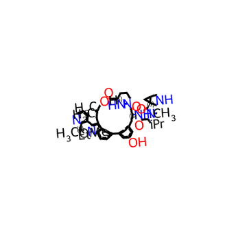 CCn1c(-c2cccnc2[C@H](C)OC)c2c3cc(ccc31)-c1cc(O)cc(c1)C[C@H](NC(=O)C(C(C)C)N(C)C(=O)[C@]13CNCC1C3)C(=O)N1CCC[C@H](N1)C(=O)OCC(C)(C)C2